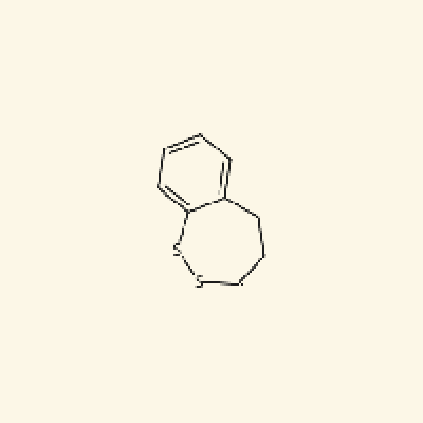 [CH]1CCc2ccccc2SS1